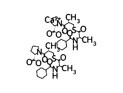 C[C@H](CSC(=O)[C@@H](C)NC(=O)C1CCCCC1)C(=O)N1CCC[C@H]1C(=O)[O-].C[C@H](CSC(=O)[C@@H](C)NC(=O)C1CCCCC1)C(=O)N1CCC[C@H]1C(=O)[O-].[Ca+2]